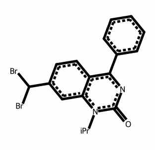 CC(C)n1c(=O)nc(-c2ccccc2)c2ccc(C(Br)Br)cc21